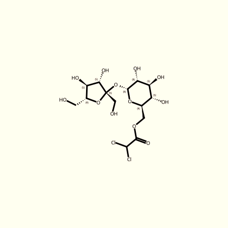 O=C(OC[C@H]1O[C@H](O[C@]2(CO)O[C@H](CO)[C@@H](O)[C@@H]2O)[C@H](O)[C@@H](O)[C@@H]1O)C(Cl)Cl